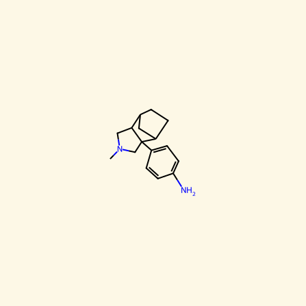 CN1CC2C3CCC(C3)C2(c2ccc(N)cc2)C1